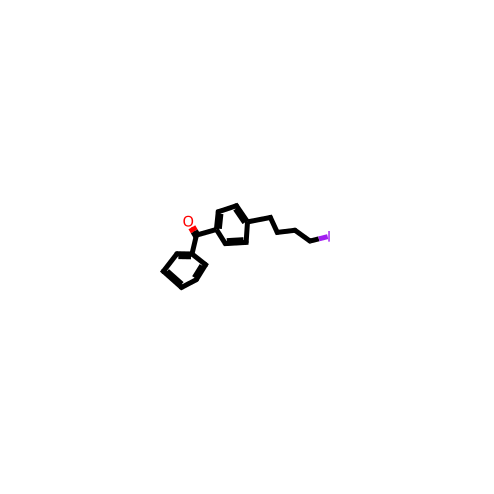 O=C(c1ccccc1)c1ccc(CCCCI)cc1